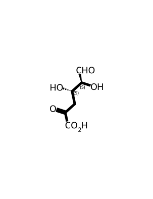 O=C[C@@H](O)[C@@H](O)CC(=O)C(=O)O